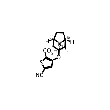 CN1[C@@H]2CC[C@H]1CC(Oc1cc(C#N)sc1C(=O)O)C2